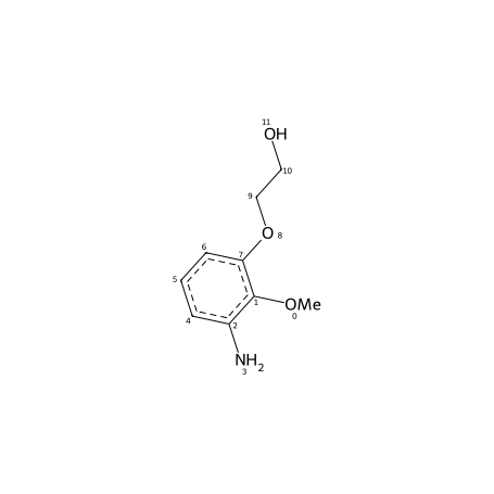 COc1c(N)cccc1OCCO